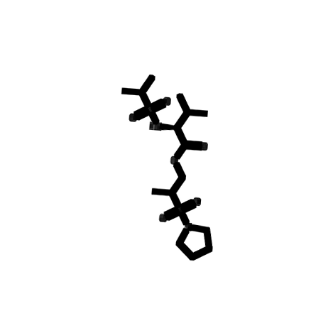 CC(C)[C@H](NS(=O)(=O)C(C)C)C(=O)OCC(C)S(=O)(=O)N1CCCC1